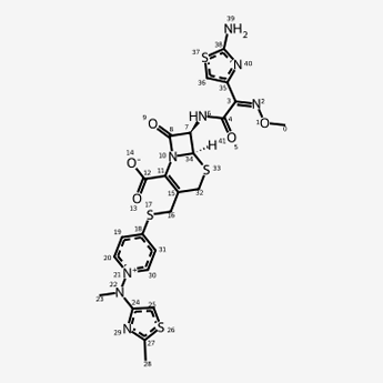 CO/N=C(\C(=O)N[C@@H]1C(=O)N2C(C(=O)[O-])=C(CSc3cc[n+](N(C)c4csc(C)n4)cc3)CS[C@H]12)c1csc(N)n1